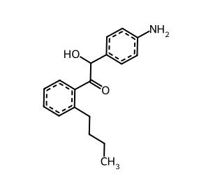 CCCCc1ccccc1C(=O)C(O)c1ccc(N)cc1